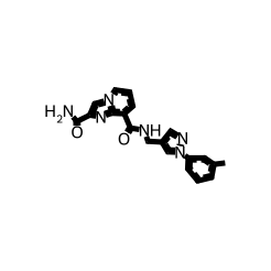 Cc1cccc(-n2cc(CNC(=O)c3cccn4cc(C(N)=O)nc34)cn2)c1